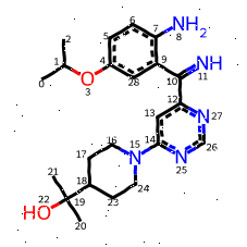 CC(C)Oc1ccc(N)c(C(=N)c2cc(N3CCC(C(C)(C)O)CC3)ncn2)c1